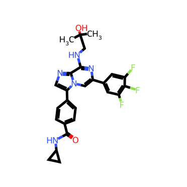 CC(C)(O)CNc1nc(-c2cc(F)c(F)c(F)c2)cn2c(-c3ccc(C(=O)NC4CC4)cc3)cnc12